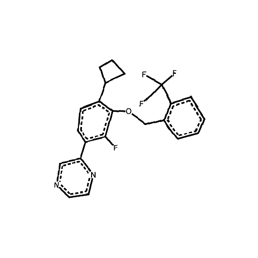 Fc1c(-c2cnccn2)ccc(C2CCC2)c1OCc1ccccc1C(F)(F)F